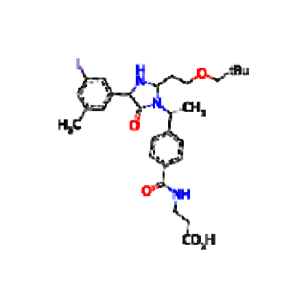 Cc1cc(I)cc(C2NC(CCOCC(C)(C)C)N([C@H](C)c3ccc(C(=O)NCCC(=O)O)cc3)C2=O)c1